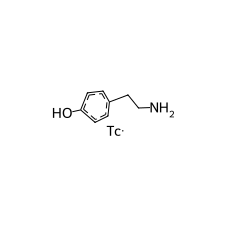 NCCc1ccc(O)cc1.[Tc]